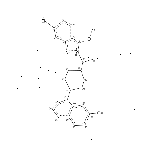 COc1c2ccc(Cl)cc2nn1C(C)C1CCC(c2ccnc3ccc(F)cc23)CC1